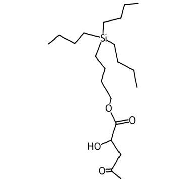 CCCC[Si](CCCC)(CCCC)CCCCOC(=O)C(O)CC(=O)O